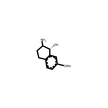 COc1ccc2c(c1)[C@@H](O)C(N)CC2